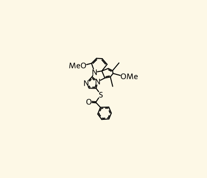 COC1=CC=CC23C=C(C)C(OC)C(C)=C2n2c(SC(=O)c4ccccc4)cnc2N13